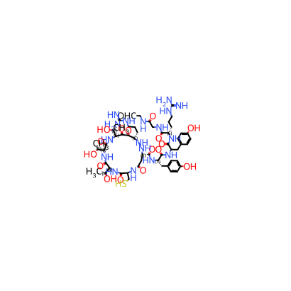 C[C@@H](O)[C@@H]1NC(=O)C(CS)NC(=O)C[C@@H](C(=O)N[C@@H](Cc2ccc(O)cc2)C(=O)NC(Cc2ccc(O)cc2)C(=O)N[C@@H](CCCNC(=N)N)C(=O)NCC(=O)NCC=O)NN[C@@H](CCCNC(=N)N)C(=O)C(=O)[C@H]([C@@H](C)O)NC(=O)[C@H]([C@@H](C)O)NC1=O